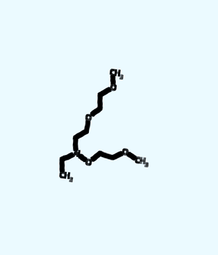 C[CH2][Al]([CH2]COCCOC)[O]CCOC